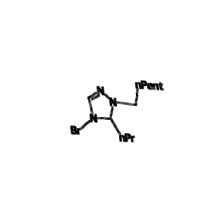 CCCCCCN1N=CN(Br)C1CCC